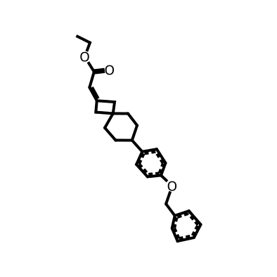 CCOC(=O)C=C1CC2(CCC(c3ccc(OCc4ccccc4)cc3)CC2)C1